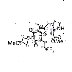 COC(=O)/N=C1\NCCN1Cc1sc2c(c1C)c(=O)n([C@H]1C[C@H](OC)C1)c(=O)n2CCC(F)(F)F